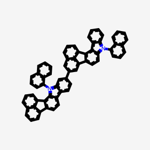 c1ccc2c(-n3c4ccccc4c4c5c(ccc43)-c3cc(-c4ccc6c7ccc8c(c7n(-c7cccc9ccccc79)c6c4)-c4cccc6cccc-8c46)cc4cccc-5c34)cccc2c1